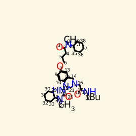 CN(C(=O)CCCOc1ccc2c(c1)CN(CC(=O)NC(C)(C)C)CN2NC(=O)N(C)C1CCCCC1)C1CCCCC1